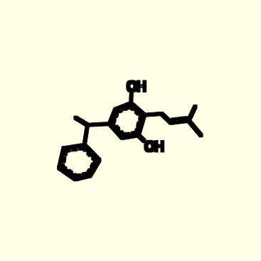 CC(C)=CCc1c(O)cc(C(C)c2ccccc2)cc1O